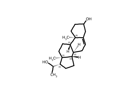 CC(O)[C@H]1CC[C@H]2[C@@H]3CC=C4CC(O)CC[C@]4(C)[C@H]3CC[C@]12C